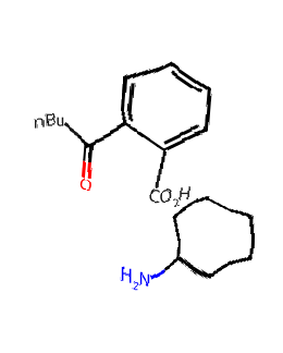 CCCCC(=O)c1ccccc1C(=O)O.NC1CCCCC1